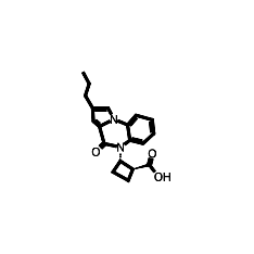 CCCc1cc2c(=O)n([C@H]3CC[C@@H]3C(=O)O)c3ccccc3n2c1